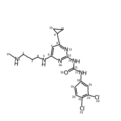 CNCCCNc1cc(C2CC2)nc(NC(=O)Nc2ccc(Cl)c(Cl)c2)n1